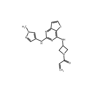 C=CC(=O)N1CC(Nc2nc(Nc3cnn(C)c3)nc3ccsc23)C1